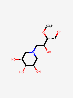 O=S(=O)(O)O[C@H](CO)[C@@H](O)CN1C[C@@H](O)[C@H](O)[C@@H](O)C1